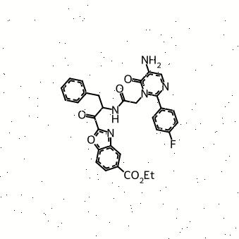 CCOC(=O)c1ccc2oc(C(=O)C(Cc3ccccc3)NC(=O)Cn3c(-c4ccc(F)cc4)ncc(N)c3=O)nc2c1